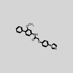 COc1cc(NC(=O)COc2ccc(-n3ccnc3)cc2)ccc1-c1ccccc1